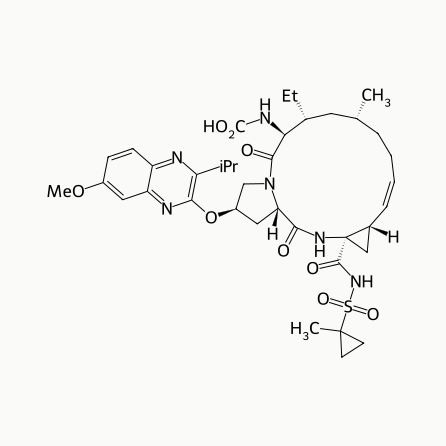 CC[C@@H]1C[C@H](C)CCC=C[C@@H]2C[C@@]2(C(=O)NS(=O)(=O)C2(C)CC2)NC(=O)[C@@H]2C[C@@H](Oc3nc4cc(OC)ccc4nc3C(C)C)CN2C(=O)[C@H]1NC(=O)O